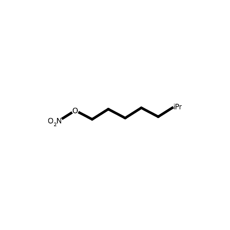 CC(C)CCCCCO[N+](=O)[O-]